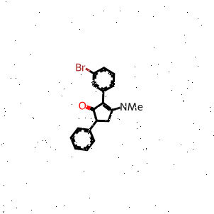 CNC1=C(c2cccc(Br)c2)C(=O)C(c2ccccc2)C1